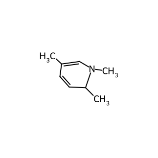 CC1=CN(C)C(C)C=C1